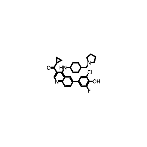 O=C(c1cnc2ccc(-c3cc(F)c(O)c(Cl)c3)cc2c1NC1CCC(CN2CCCC2)CC1)C1CC1